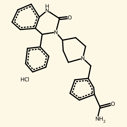 Cl.NC(=O)c1cccc(CN2CCC(N3C(=O)Nc4ccccc4C3c3ccccc3)CC2)c1